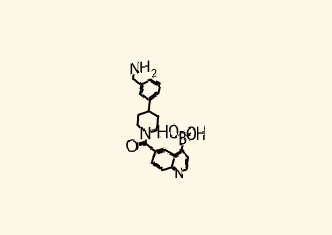 NCc1cccc(C2CCN(C(=O)c3ccc4nccc(B(O)O)c4c3)CC2)c1